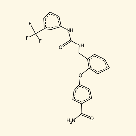 NC(=O)c1ccc(Oc2ccccc2CNC(=O)Nc2cccc(C(F)(F)F)c2)cc1